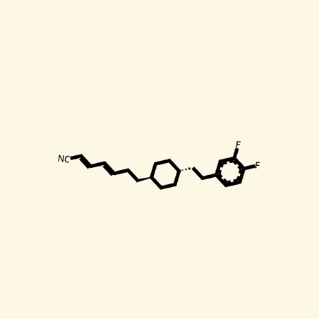 N#CC=CC=CCC[C@H]1CC[C@H](CCc2ccc(F)c(F)c2)CC1